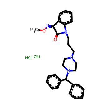 CON=C1C(=O)N(CCCN2CCN(C(c3ccccc3)c3ccccc3)CC2)c2ccccc21.Cl.Cl